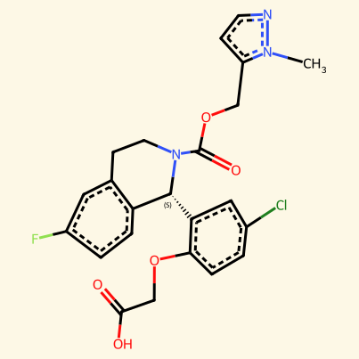 Cn1nccc1COC(=O)N1CCc2cc(F)ccc2[C@H]1c1cc(Cl)ccc1OCC(=O)O